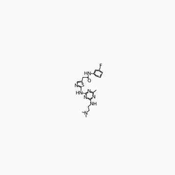 Cc1nc(NCCN(C)C)nc(Nc2ncc(CC(=O)Nc3cccc(F)c3)s2)n1